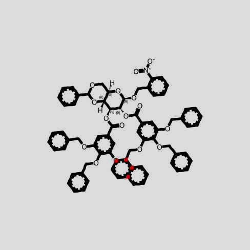 O=C(O[C@@H]1[C@@H](OC(=O)c2cc(OCc3ccccc3)c(OCc3ccccc3)c(OCc3ccccc3)c2)[C@H](OCc2ccccc2[N+](=O)[O-])O[C@@H]2COC(c3ccccc3)O[C@@H]12)c1cc(OCc2ccccc2)c(OCc2ccccc2)c(OCc2ccccc2)c1